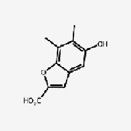 Cc1c(O)cc2cc(C(=O)O)oc2c1C